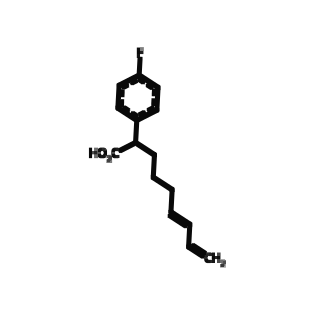 C=CC=CCCCC(C(=O)O)c1ccc(F)cc1